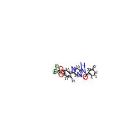 Cc1cccc(C(=O)Nc2cnc(-c3cc4c(cc3C)OC(F)(F)O4)cn2)c1